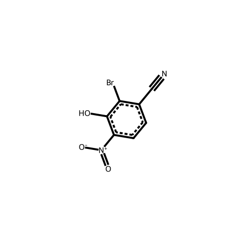 N#Cc1ccc([N+](=O)[O-])c(O)c1Br